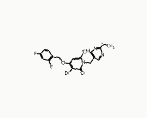 CSc1ncc(Cn2c(C)cc(OCc3ccc(F)cc3F)c(Br)c2=O)cn1